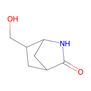 O=C1NC2CC1CC2CO